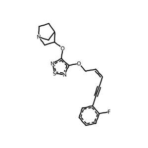 Fc1ccccc1C#C/C=C\COc1nsnc1OC1CN2CCC1C2